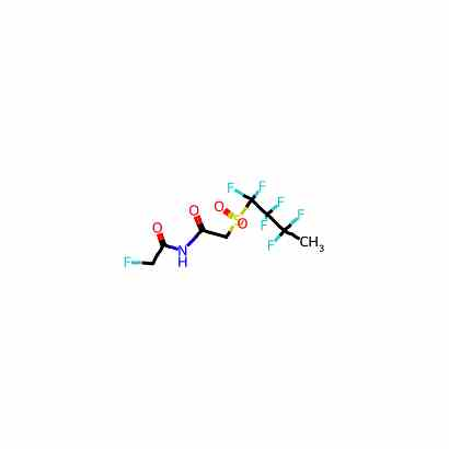 CC(F)(F)C(F)(F)C(F)(F)S(=O)(=O)CC(=O)NC(=O)CF